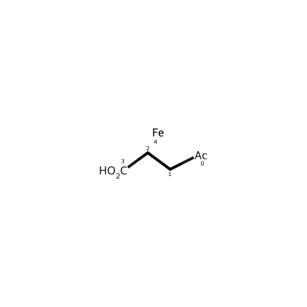 CC(=O)CCC(=O)O.[Fe]